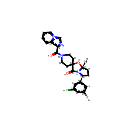 O=C(c1ncn2ccccc12)N1CCC2(CC1)O[C@@H]1CC[C@@H](c3cc(F)cc(F)c3)N1C2=O